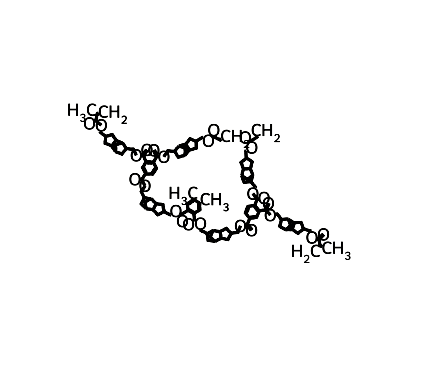 C=CC(=O)OCC1CC2C3CC(COC(=O)c4ccc(C(=O)OCC5CC6C7CC(COC(=O)c8cc(C)c(C)cc8C(=O)OCC8CC9C%10CC(COC(=O)c%11ccc(C(=O)OCC%12CC%13CC%12C%12CC(COC(=O)C=C)CC%13%12)c(C(=O)OCC%12CC%13CC%12C%12CC(COC(=O)C(=C)C)CC%13%12)c%11)C(C%10)C9C8)C(C7)C6C5)cc4C(=O)OCC4CC5CC4C4CC(COC(=O)C(=C)C)CC54)C(C3)C2C1